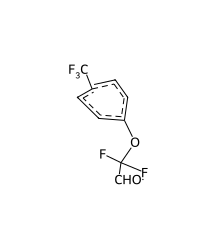 O=[C]C(F)(F)Oc1ccc(C(F)(F)F)cc1